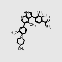 Cc1cc(-c2cnc3[nH]cc(-c4ccc(C(N)=O)c(C)c4C)c3c2C)ccc1N1CCN(C)CC1